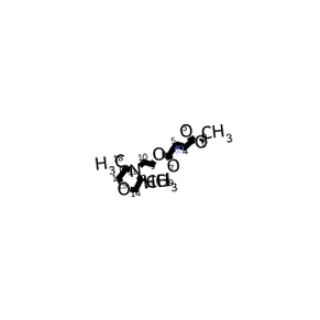 COC(=O)/C=C/C(=O)OCCN1[C@@H](C)COC[C@@H]1C.Cl